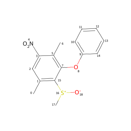 Cc1cc([N+](=O)[O-])c(C)c(Oc2ccccc2)c1[S+](C)[O-]